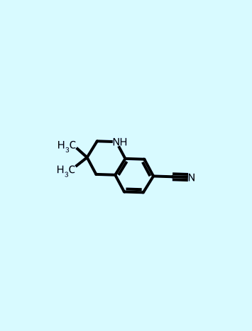 CC1(C)CNc2cc(C#N)ccc2C1